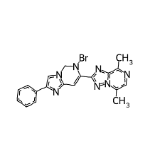 Cc1ncc(C)n2nc(C3=Cc4nc(-c5ccccc5)cn4CN3Br)nc12